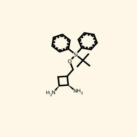 CC(C)(C)[Si](OCC1C[C@H](N)[C@@H]1N)(c1ccccc1)c1ccccc1